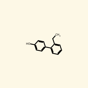 CCc1ccccc1-c1ccc(O)cc1